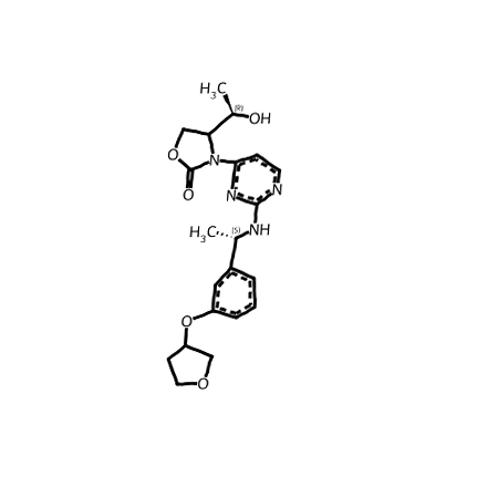 C[C@H](Nc1nccc(N2C(=O)OCC2[C@@H](C)O)n1)c1cccc(OC2CCOC2)c1